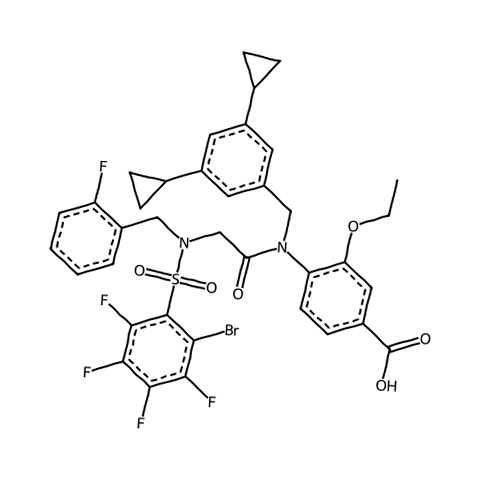 CCOc1cc(C(=O)O)ccc1N(Cc1cc(C2CC2)cc(C2CC2)c1)C(=O)CN(Cc1ccccc1F)S(=O)(=O)c1c(F)c(F)c(F)c(F)c1Br